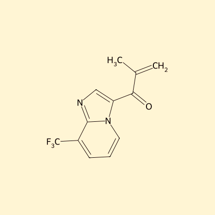 C=C(C)C(=O)c1cnc2c(C(F)(F)F)cccn12